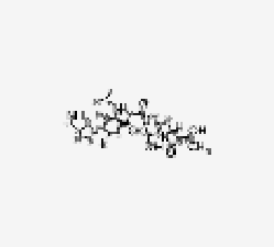 C[C@@H](O)[C@@H]1C(=O)N2C(C(=O)O)=C(COC(=O)c3cn(C4CC4)c4c(F)c(N5CCC(CN)C5)c(F)cc4c3=O)C[C@H]12